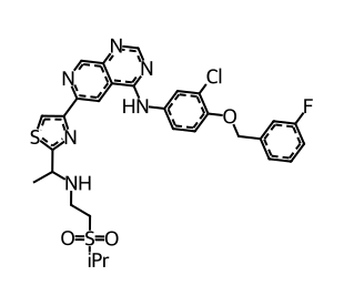 CC(NCCS(=O)(=O)C(C)C)c1nc(-c2cc3c(Nc4ccc(OCc5cccc(F)c5)c(Cl)c4)ncnc3cn2)cs1